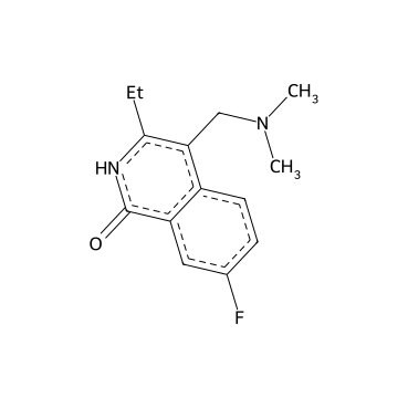 CCc1[nH]c(=O)c2cc(F)ccc2c1CN(C)C